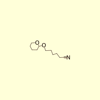 N#CCCCCCOC1CCCCO1